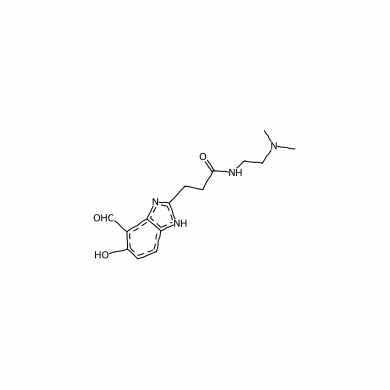 CN(C)CCNC(=O)CCc1nc2c(C=O)c(O)ccc2[nH]1